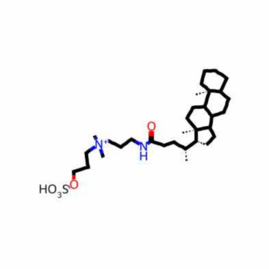 C[C@H](CCC(=O)NCCC[N+](C)(C)CCCOS(=O)(=O)O)[C@H]1CCC2C3CCC4CCCC[C@]4(C)C3CC[C@@]21C